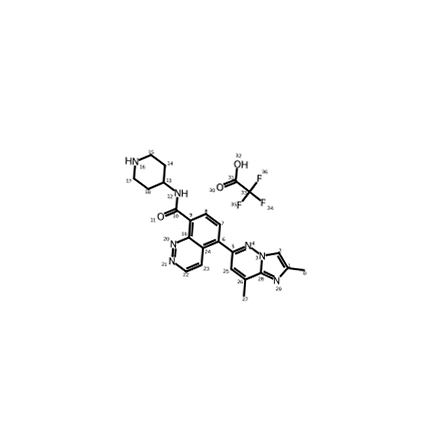 Cc1cn2nc(-c3ccc(C(=O)NC4CCNCC4)c4nnccc34)cc(C)c2n1.O=C(O)C(F)(F)F